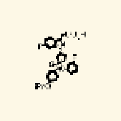 CC(C)Oc1ccc(S(=O)(=O)N2C[C@H](n3nc(CC(=O)O)c4ccc(F)cc43)C[C@@H]2c2ccccc2F)cc1